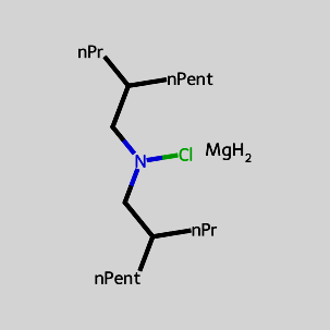 CCCCCC(CCC)CN(Cl)CC(CCC)CCCCC.[MgH2]